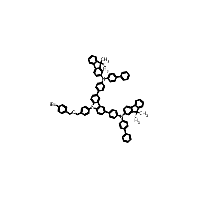 CCC(C)c1ccc(COCc2ccc(-n3c4ccc(-c5ccc(N(c6ccc(-c7ccccc7)cc6)c6ccc7c(c6)C(C)(C)c6ccccc6-7)cc5)cc4c4cc(-c5ccc(N(c6ccc(-c7ccccc7)cc6)c6ccc7c(c6)C(C)(C)c6ccccc6-7)cc5)ccc43)cc2)cc1